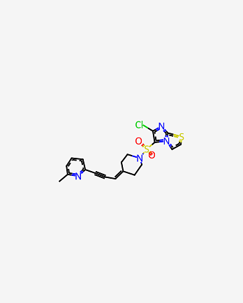 Cc1cccc(C#CC=C2CCN(S(=O)(=O)c3c(Cl)nc4sccn34)CC2)n1